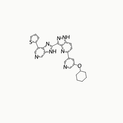 c1csc(-c2cncc3[nH]c(-c4n[nH]c5ccc(-c6cncc(OC7CCCCC7)c6)nc45)nc23)c1